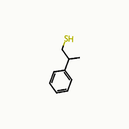 CC(CS)c1ccccc1